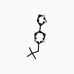 CC(C)(C)Cc1ncc(-c2ccon2)cn1